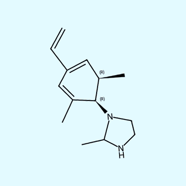 C=CC1=C[C@@H](C)[C@@H](N2CCNC2C)C(C)=C1